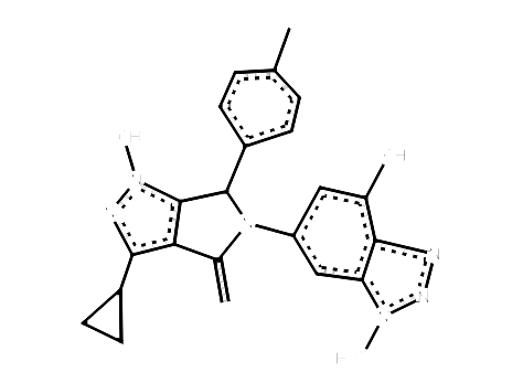 Cc1cc(N2C(=O)c3c(C4CC4)nn(C)c3C2c2ccc(Cl)cc2)cc2c1nnn2C